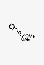 COCC(COCCc1[c]cccc1)OC